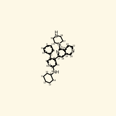 c1ccc(-c2cnc(NC3CCCCC3)cc2-c2cc3cnccc3c(N3CCNCC3)n2)cc1